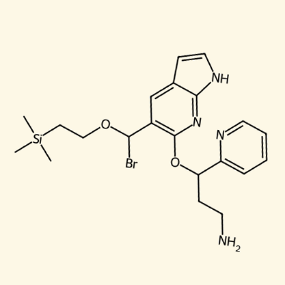 C[Si](C)(C)CCOC(Br)c1cc2cc[nH]c2nc1OC(CCN)c1ccccn1